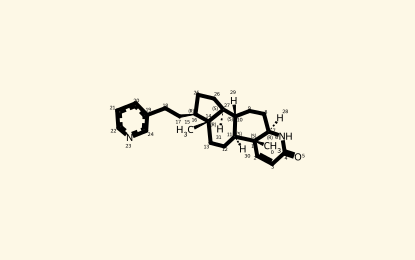 C[C@]12C=CC(=O)N[C@@H]1CC[C@@H]1[C@@H]2CC[C@]2(C)[C@@H](CCc3cccnc3)CC[C@@H]12